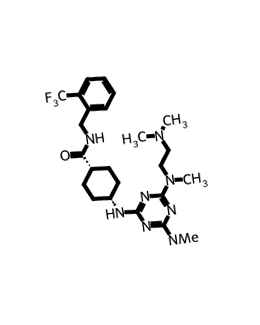 CNc1nc(N[C@H]2CC[C@@H](C(=O)NCc3ccccc3C(F)(F)F)CC2)nc(N(C)CCN(C)C)n1